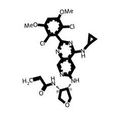 C=CC(=O)N[C@H]1COC[C@H]1Nc1cc2c(NC3CC3)nc(-c3c(Cl)c(OC)cc(OC)c3Cl)nc2cn1